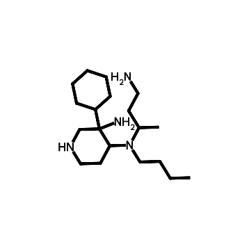 CCCCN(C(C)CCN)C1CCNCC1(N)C1CCCCC1